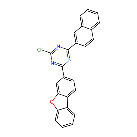 Clc1nc(-c2ccc3ccccc3c2)nc(-c2ccc3c(c2)oc2ccccc23)n1